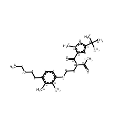 CCOCCc1ccc(OCCN(C(C)=O)C(=O)c2cc(C(C)(C)C)nn2C)c(C)c1C